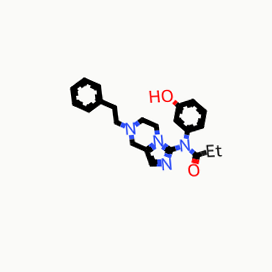 CCC(=O)N(c1cccc(O)c1)c1ncc2n1CCN(CCc1ccccc1)C2